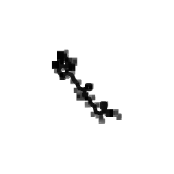 C=C1N[C@@H]2CSC(CCCCC(=O)NCCCC[C@H](C)C(N)=O)[C@@H]2N1